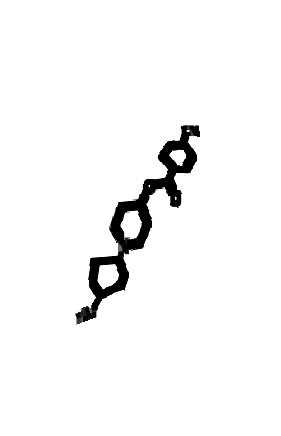 CCCC[C@H]1CC[C@H](N2CCC(OC(=O)c3ccc(C#N)cc3)CC2)CC1